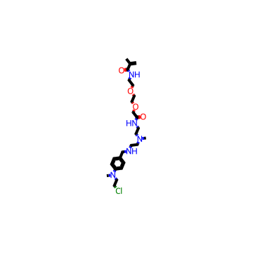 C=C(C)C(=O)NCCOCCOCC(=O)NCCN(C)CCNCc1ccc(N(C)CCCl)cc1